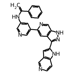 C=C(Nc1cncc(-c2cc3c(-c4cc5cnccc5[nH]4)n[nH]c3cn2)c1)c1ccccc1